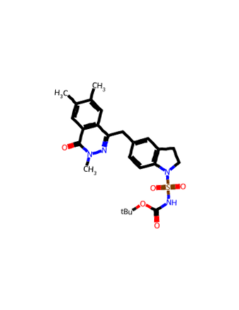 Cc1cc2c(Cc3ccc4c(c3)CCN4S(=O)(=O)NC(=O)OC(C)(C)C)nn(C)c(=O)c2cc1C